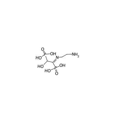 NCCN=C(C(O)P(=O)(O)O)P(=O)(O)O